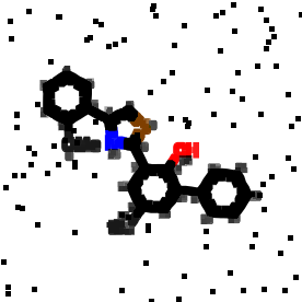 COc1ccccc1-c1csc(-c2cc(C(C)(C)C)cc(-c3ccccc3)c2O)n1